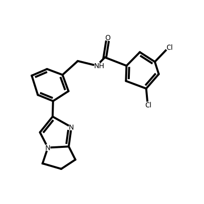 O=C(NCc1cccc(-c2cn3c(n2)CCC3)c1)c1cc(Cl)cc(Cl)c1